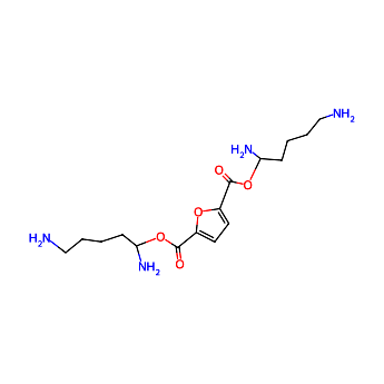 NCCCCC(N)OC(=O)c1ccc(C(=O)OC(N)CCCCN)o1